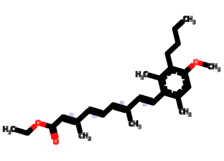 CCCCc1c(OC)cc(C)c(/C=C/C(C)=C/C=C/C(C)=C/C(=O)OCC)c1C